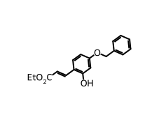 CCOC(=O)/C=C/c1ccc(OCc2ccccc2)cc1O